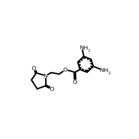 Nc1cc(N)cc(C(=O)OCCN2C(=O)CCC2=O)c1